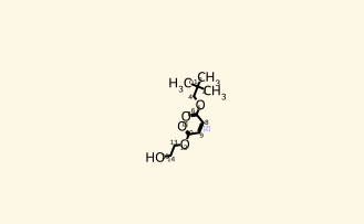 CC(C)(C)COC(=O)/C=C\C(=O)OCCO